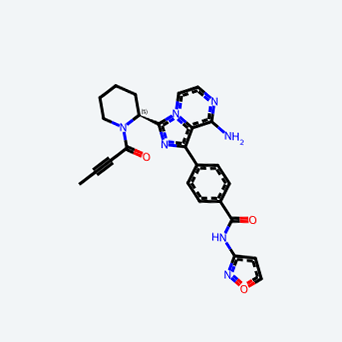 CC#CC(=O)N1CCCC[C@H]1c1nc(-c2ccc(C(=O)Nc3ccon3)cc2)c2c(N)nccn12